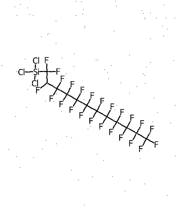 FC(C(F)(F)C(F)(F)C(F)(F)C(F)(F)C(F)(F)C(F)(F)C(F)(F)C(F)(F)C(F)(F)C(F)(F)F)C(F)(F)[Si](Cl)(Cl)Cl